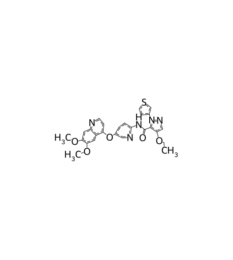 CCOc1cnn(-c2ccsc2)c1C(=O)Nc1ccc(Oc2ccnc3cc(OC)c(OC)cc23)cn1